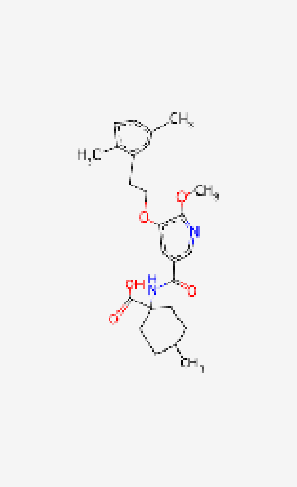 COc1ncc(C(=O)NC2(C(=O)O)CCC(C)CC2)cc1OCCc1cc(C)ccc1C